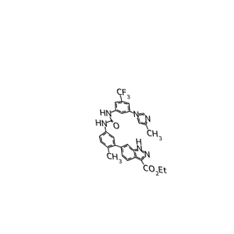 CCOC(=O)c1n[nH]c2cc(-c3cc(NC(=O)Nc4cc(-n5cnc(C)c5)cc(C(F)(F)F)c4)ccc3C)ccc12